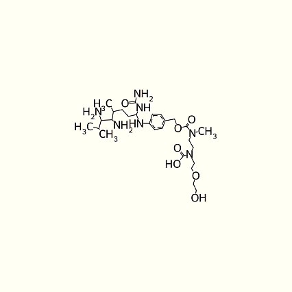 CC(C)C(N)C(N)C(C)CCC(NC(N)=O)Nc1ccc(COC(=O)N(C)CCN(CCOCCO)C(=O)O)cc1